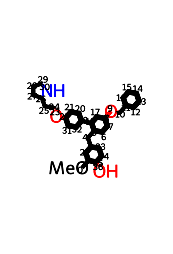 COc1cc(Cc2ccc(OCc3ccccc3)cc2-c2ccc(OCCC3CCCN3)cc2)ccc1O